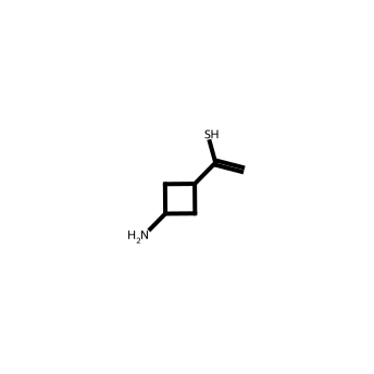 C=C(S)C1CC(N)C1